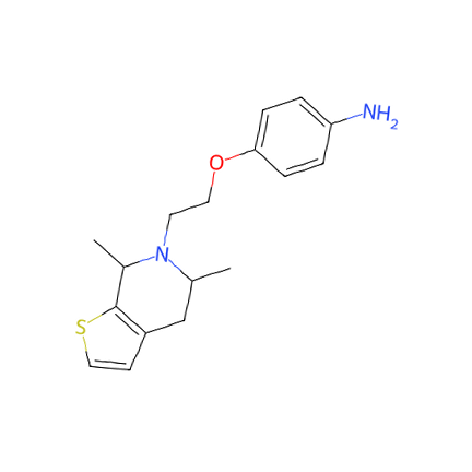 CC1Cc2ccsc2C(C)N1CCOc1ccc(N)cc1